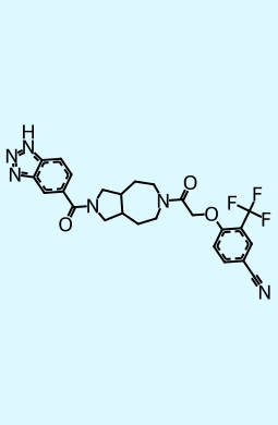 N#Cc1ccc(OCC(=O)N2CCC3CN(C(=O)c4ccc5[nH]nnc5c4)CC3CC2)c(C(F)(F)F)c1